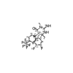 CN1C(=N)N[C@](C)(c2cc(F)c(F)cc2F)[C@@H](c2ccc(S(F)(F)(F)(F)F)cc2)C1=O